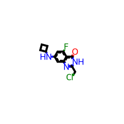 O=c1[nH]c(CCl)nc2cc(NC3CCC3)cc(F)c12